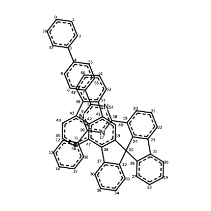 c1ccc(-c2ccc(-c3nc(-c4ccccc4)nc(-c4cccc5c4C4(c6ccccc6-5)c5ccccc5-c5c4cc4c6c(cccc56)-c5ccccc5-4)n3)cc2)cc1